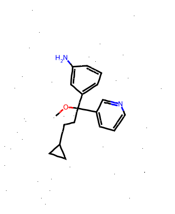 COC(CCC1CC1)(c1cccnc1)c1cccc(N)c1